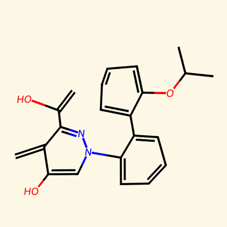 C=C(O)C1=NN(c2ccccc2-c2ccccc2OC(C)C)C=C(O)C1=C